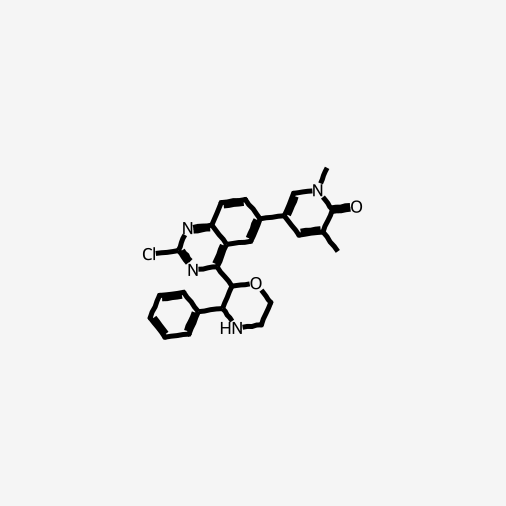 Cc1cc(-c2ccc3nc(Cl)nc(C4OCCNC4c4ccccc4)c3c2)cn(C)c1=O